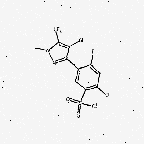 Cn1nc(-c2cc(S(=O)(=O)Cl)c(Cl)cc2F)c(Cl)c1C(F)(F)F